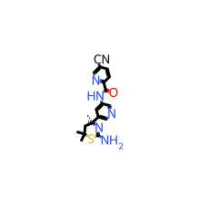 CC1(C)C[C@@](C)(c2cncc(NC(=O)c3ccc(C#N)cn3)c2)N=C(N)S1